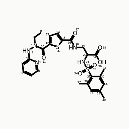 CCN(Nc1ccccn1)C(=O)c1ccc(C(=O)NCC(NS(=O)(=O)c2c(C)cc(C)cc2C)C(=O)O)s1